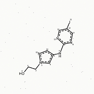 OCCn1cc(Nc2ncc(I)cn2)cn1